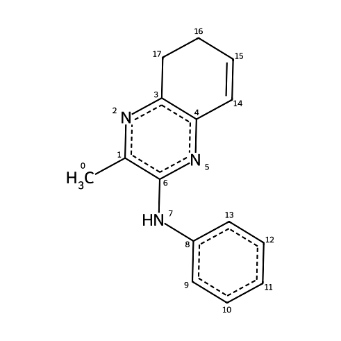 Cc1nc2c(nc1Nc1ccccc1)C=CCC2